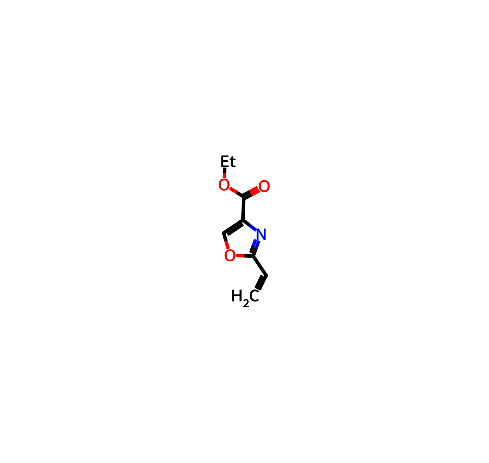 C=Cc1nc(C(=O)OCC)co1